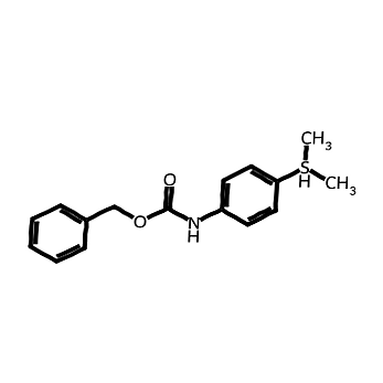 C[SH](C)c1ccc(NC(=O)OCc2ccccc2)cc1